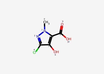 Cn1nc(Cl)c(O)c1C(=O)O